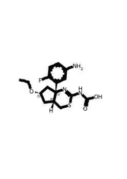 CCO[C@H]1C[C@H]2CSC(NC(=O)O)=N[C@@]2(c2cc(N)ccc2F)C1